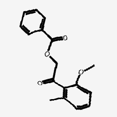 COc1cccc(C)c1C(=O)COC(=O)c1ccccc1